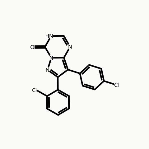 O=c1[nH]cnc2c(-c3ccc(Cl)cc3)c(-c3ccccc3Cl)nn12